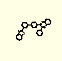 c1ccc(-c2nc3ccccc3nc2-c2ccc(-c3cccc(-c4nc5ccccc5o4)c3)cc2)cc1